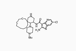 CC(C)(C)N1CCN(C2C(NC(=O)c3c(N)nn4cc(Cl)cnc34)CNCC23CCCCCCCCC3)CC1